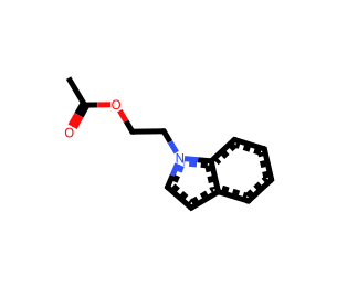 CC(=O)OCCn1ccc2ccccc21